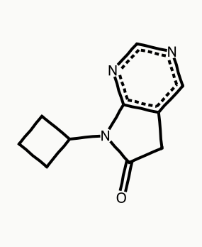 O=C1Cc2cncnc2N1C1CCC1